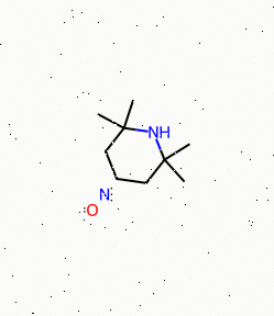 CC1(C)CCCC(C)(C)N1.[N].[O]